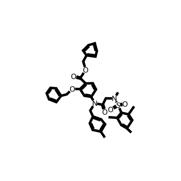 Cc1ccc(CN(C(=O)CN(C)S(=O)(=O)c2c(C)cc(C)cc2C)c2ccc(C(=O)OCc3ccccc3)c(OCc3ccccc3)c2)cc1